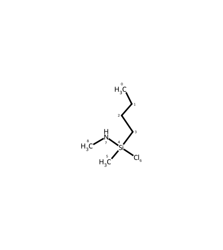 CCCC[Si](C)(Cl)NC